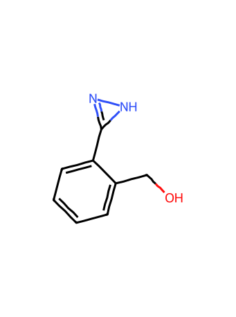 OCc1ccccc1C1=NN1